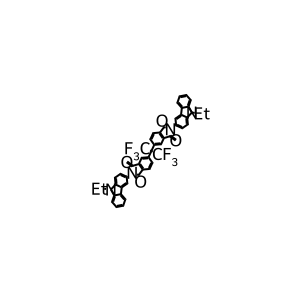 CCn1c2ccccc2c2cc(N3C(=O)c4ccc(C(c5ccc6c(c5)C(=O)N(c5ccc7c(c5)c5ccccc5n7CC)C6=O)(C(F)(F)F)C(F)(F)F)cc4C3=O)ccc21